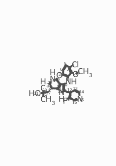 COc1c(Cl)cccc1Nc1c(-c2ccncc2F)[nH]c2c1C(=O)NC[C@@H]2CC(C)(C)O